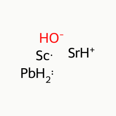 [OH-].[PbH2].[Sc].[SrH+]